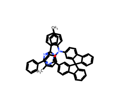 Cc1ccc(N(c2ccc(C)cc2)c2ccc3c(c2)C2(c4ccccc4-c4ccc(-c5nc(-c6ccccc6)nc(-c6ccccc6)n5)cc42)c2ccccc2-3)cc1